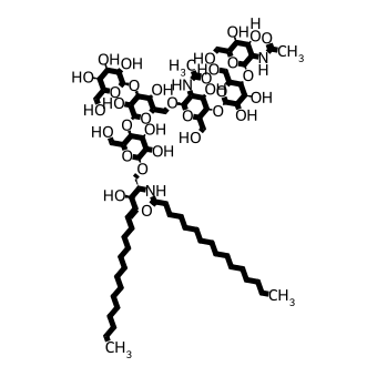 CCCCCCCCCCCCC/C=C/[C@@H](O)[C@H](CO[C@@H]1OC(CO)[C@@H](O[C@@H]2OC(CO[C@@H]3OC(CO)[C@@H](O[C@@H]4OC(CO)[C@H](O[C@@H]5OC(CO)[C@H](O)[C@H](O)C5NC(C)=O)[C@H](O)C4O)[C@H](O)C3NC(C)=O)[C@H](O)[C@H](O[C@H]3OC(CO)[C@H](O)[C@H](O)C3O)C2O)[C@H](O)C1O)NC(=O)CCCCCCCCCCCCCCC